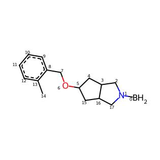 BN1CC2CC(OCc3ccccc3C)CC2C1